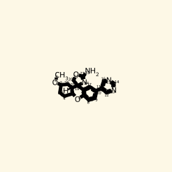 COC1CCC2Oc3ccc(-c4cncnc4)cc3C3(COC(N)=N3)[C@H]2C1